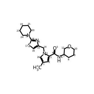 Cc1cc(C(=O)NC2CCCOC2)n(Cc2csc(N3CCCCC3)n2)c1